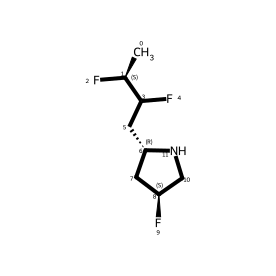 C[C@H](F)C(F)C[C@H]1C[C@H](F)CN1